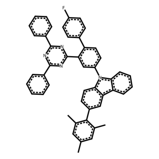 Cc1cc(C)c(-c2ccc3c(c2)c2ccccc2n3-c2ccc(-c3ccc(F)cc3)c(-c3nc(-c4ccccc4)nc(-c4ccccc4)n3)c2)c(C)c1